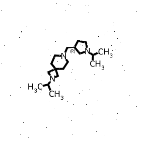 CC(C)N1CC[C@H](CN2CCC3(CC2)CN(C(C)C)C3)C1